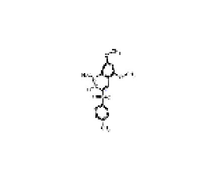 COc1cc(OC)c(/C=C(\[N+](=O)[O-])S(=O)(=O)c2ccc(C)cc2)c(OC)c1